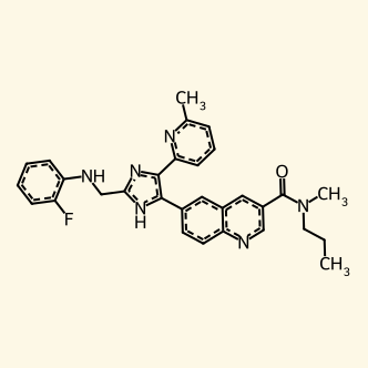 CCCN(C)C(=O)c1cnc2ccc(-c3[nH]c(CNc4ccccc4F)nc3-c3cccc(C)n3)cc2c1